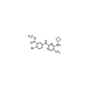 COC(=O)c1cc(Nc2ncc(C)c(NC3CCC3)n2)ccc1Br